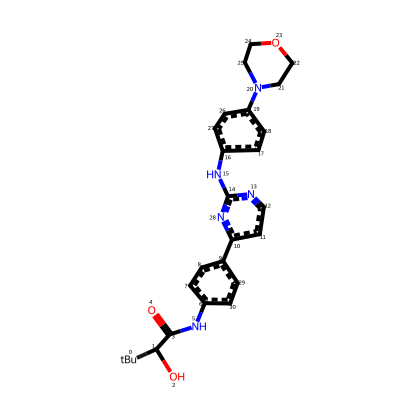 CC(C)(C)C(O)C(=O)Nc1ccc(-c2ccnc(Nc3ccc(N4CCOCC4)cc3)n2)cc1